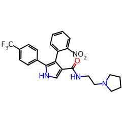 O=C(NCCN1CCCC1)c1c[nH]c(-c2ccc(C(F)(F)F)cc2)c1-c1ccccc1[N+](=O)[O-]